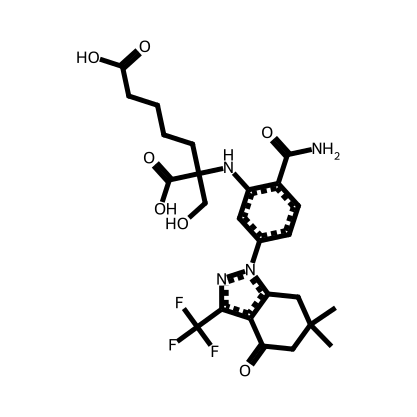 CC1(C)CC(=O)c2c(C(F)(F)F)nn(-c3ccc(C(N)=O)c(NC(CO)(CCCCC(=O)O)C(=O)O)c3)c2C1